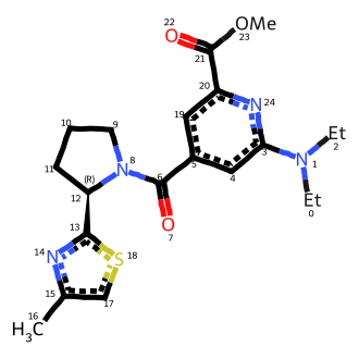 CCN(CC)c1cc(C(=O)N2CCC[C@@H]2c2nc(C)cs2)cc(C(=O)OC)n1